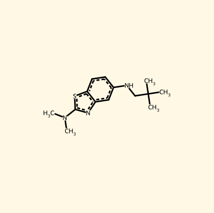 CN(C)c1nc2cc(NCC(C)(C)C)ccc2s1